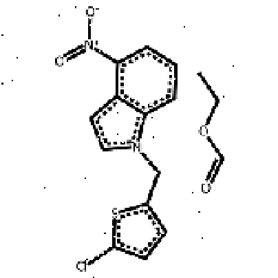 CCOC=O.O=[N+]([O-])c1cccc2c1ccn2Cc1ccc(Cl)s1